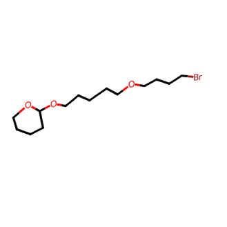 BrCCCCOCCCCCOC1CCCCO1